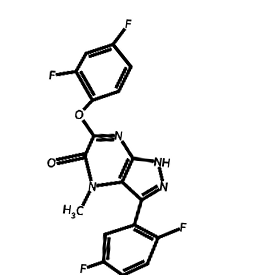 Cn1c(=O)c(Oc2ccc(F)cc2F)nc2[nH]nc(-c3cc(F)ccc3F)c21